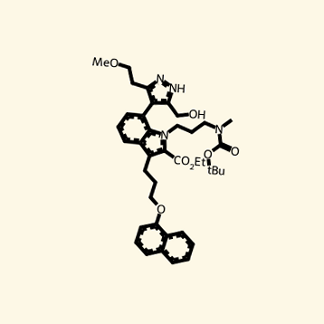 CCOC(=O)c1c(CCCOc2cccc3ccccc23)c2cccc(-c3c(CCOC)n[nH]c3CO)c2n1CCCN(C)C(=O)OC(C)(C)C